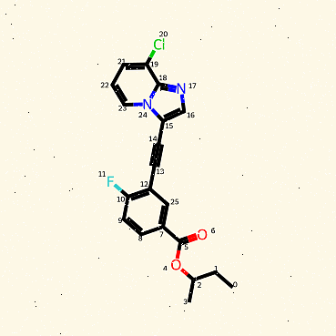 CCC(C)OC(=O)c1ccc(F)c(C#Cc2cnc3c(Cl)cccn23)c1